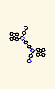 c1ccc(-c2ccc(-c3cc(-c4ccc5c(c4)C4(c6ccccc6-c6ccccc64)c4ccccc4-5)nc(-c4ccc(-c5ccc(-c6nc(-c7ccc(-c8ccccn8)cc7)cc(-c7ccc8c(c7)C7(c9ccccc9-c9ccccc97)c7ccccc7-8)n6)cc5)cc4)n3)cc2)nc1